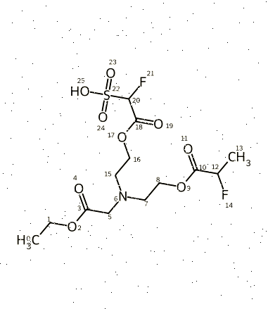 CCOC(=O)CN(CCOC(=O)C(C)F)CCOC(=O)C(F)S(=O)(=O)O